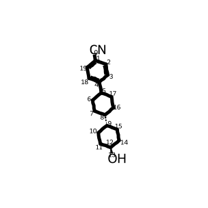 N#Cc1ccc(C2CCC([C@H]3CC[C@H](O)CC3)CC2)cc1